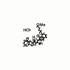 COCCCCOc1ccccc1C(=O)NCC(CC(N)C(O)CN1CCCCCC1=O)C(C)C.Cl